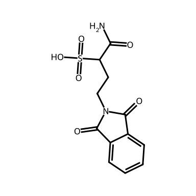 NC(=O)C(CCN1C(=O)c2ccccc2C1=O)S(=O)(=O)O